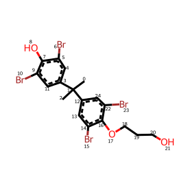 CC(C)(c1cc(Br)c(O)c(Br)c1)c1cc(Br)c(OCCCO)c(Br)c1